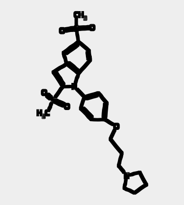 CS(=O)(=O)c1ccc2c(c1)cc(S(C)(=O)=O)n2-c1ccc(OCCCN2CCCC2)cc1